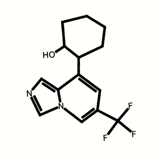 OC1CCCCC1c1cc(C(F)(F)F)cn2cncc12